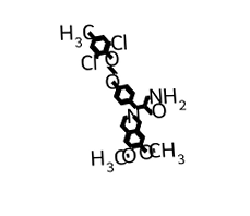 COc1cc2c(cc1OC)CN(C(c1ccc(OCCOc3c(Cl)cc(C)cc3Cl)cc1)C(C=O)CN)CC2